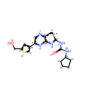 O=C(Nc1ccc2ncc(-c3csc(CO)c3)nc2n1)NC1CCCC1